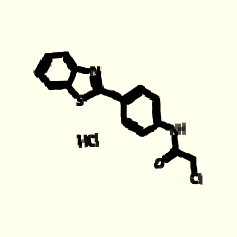 Cl.O=C(CCl)Nc1ccc(-c2nc3ccccc3s2)cc1